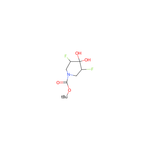 CC(C)(C)OC(=O)N1CC(F)C(O)(O)C(F)C1